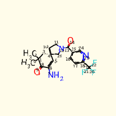 CC1(C)C[C@]2(C=C(N)C1=O)CCN(C(=O)c1ccc(C(F)(F)F)nc1)C2